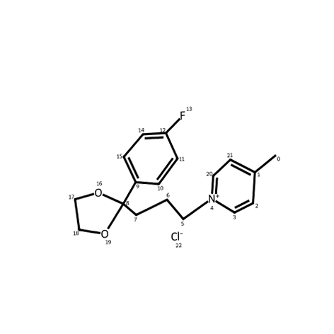 Cc1cc[n+](CCCC2(c3ccc(F)cc3)OCCO2)cc1.[Cl-]